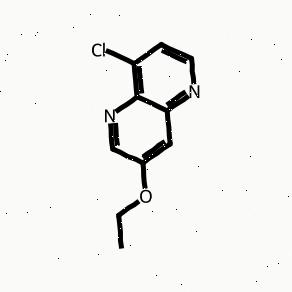 CCOc1cnc2c(Cl)ccnc2c1